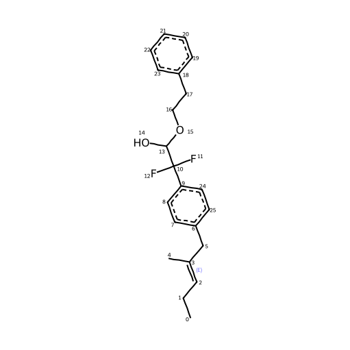 CC/C=C(\C)Cc1ccc(C(F)(F)C(O)OCCc2ccccc2)cc1